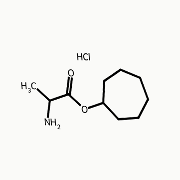 CC(N)C(=O)OC1CCCCCC1.Cl